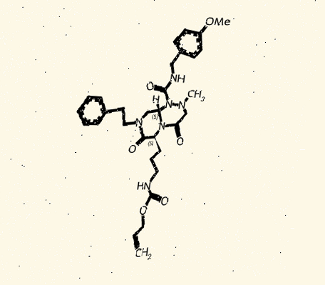 C=CCOC(=O)NCCC[C@H]1C(=O)N(CCc2ccccc2)C[C@H]2N1C(=O)CN(C)N2C(=O)NCc1ccc(OC)cc1